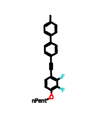 CCCCCOc1ccc(C#Cc2ccc(-c3ccc(C)cc3)cc2)c(F)c1F